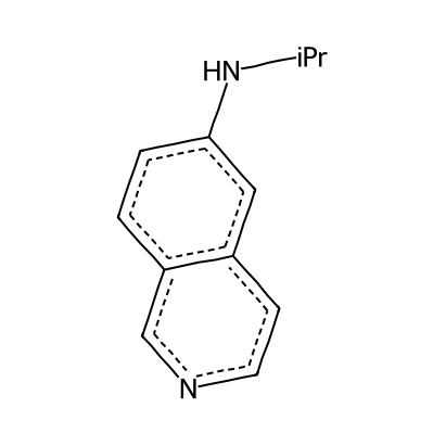 CC(C)Nc1ccc2cnccc2c1